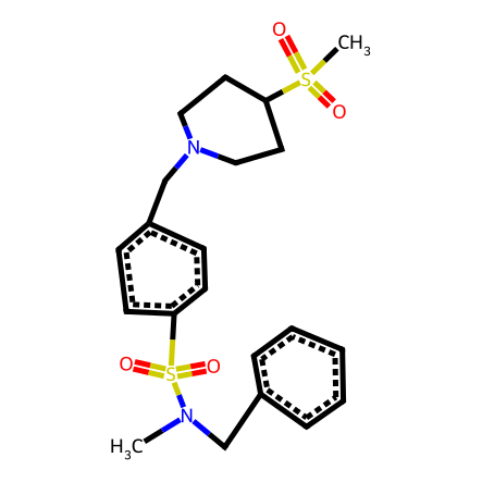 CN(Cc1ccccc1)S(=O)(=O)c1ccc(CN2CCC(S(C)(=O)=O)CC2)cc1